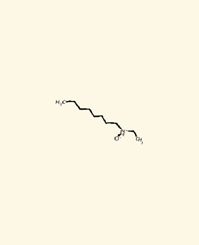 CCCCCCCC[NH+]([O-])CC